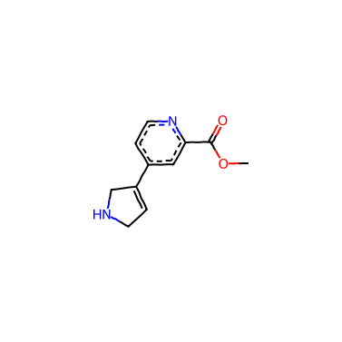 COC(=O)c1cc(C2=CCNC2)ccn1